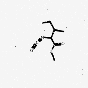 CCC(C)C(N=C=O)C(=O)OC